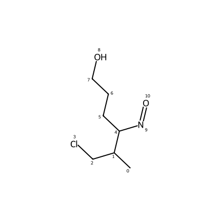 CC(CCl)C(CCCO)N=O